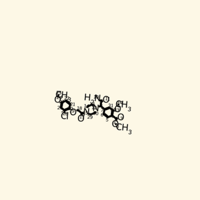 COC(=O)c1ccc(C(C(N)=O)N2CCN(C(=O)COc3ccc(OC)cc3Cl)CC2)cc1OC